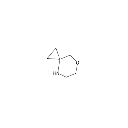 [CH]1CNC2(CC2)CO1